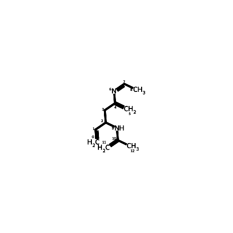 C=CC(CC(=C)/N=C\C)NC(=C)C